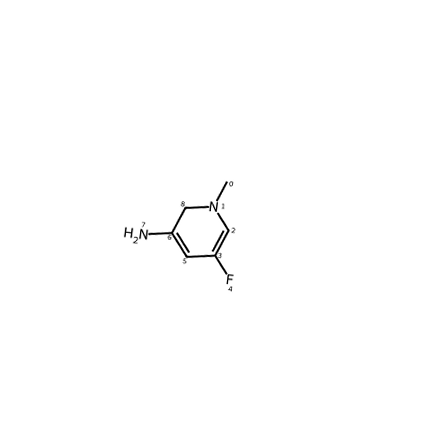 CN1C=C(F)C=C(N)C1